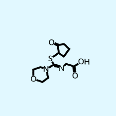 O=C(O)C/N=C(\SC1CCCC1=O)N1CCOCC1